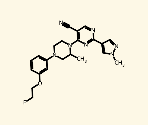 CC1CN(c2cccc(OCCF)c2)CCN1c1nc(-c2cnn(C)c2)ncc1C#N